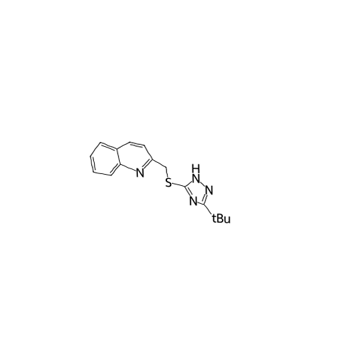 CC(C)(C)c1n[nH]c(SCc2ccc3ccccc3n2)n1